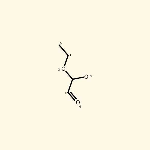 CCOC([O])C=O